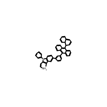 Cc1c(/C=C\N)n(-c2ccccc2)c2ccc(-c3cccc(-c4c5ccccc5c(C5C=CC=C6C=CC=CC65)c5ccccc45)c3)cc12